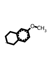 COc1ccc2c(c1)CC[CH]C2